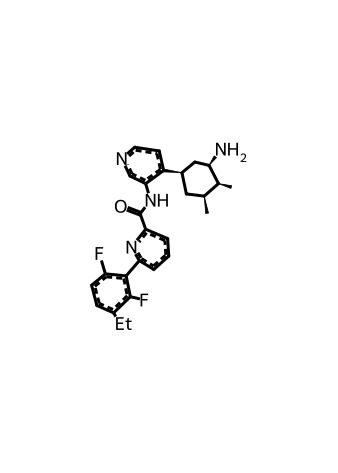 CCc1ccc(F)c(-c2cccc(C(=O)Nc3cnccc3[C@H]3C[C@@H](N)[C@@H](C)[C@@H](C)C3)n2)c1F